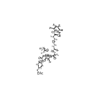 CC(=O)OCc1ccc(NC(=O)[C@H](CC(N)=O)NC(=O)[C@H](C)NC(=O)[C@H](C)NC(=O)CCOCCC(=O)Oc2c(F)c(F)c(F)c(F)c2F)cc1